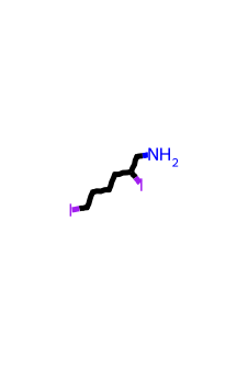 NCC(I)CCCCI